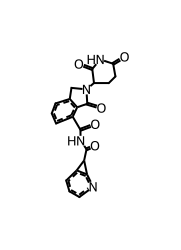 O=C1CCC(N2Cc3cccc(C(=O)NC(=O)C4c5cccnc54)c3C2=O)C(=O)N1